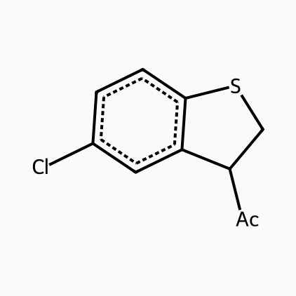 CC(=O)C1CSc2ccc(Cl)cc21